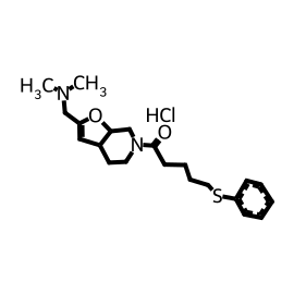 CN(C)CC1=CC2CCN(C(=O)CCCCSc3ccccc3)CC2O1.Cl